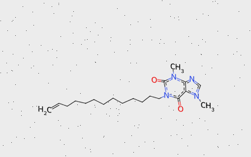 C=CCCCCCCCCCCCn1c(=O)c2c(ncn2C)n(C)c1=O